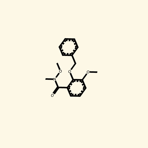 COc1cccc(C(=O)N(C)OC)c1OCc1ccccc1